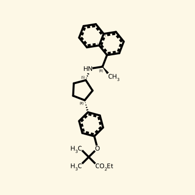 CCOC(=O)C(C)(C)Oc1ccc([C@@H]2CC[C@H](N[C@H](C)c3cccc4ccccc34)C2)cc1